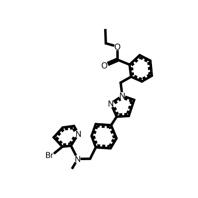 CCOC(=O)c1ccccc1Cn1ccc(-c2ccc(CN(C)c3ncccc3Br)cc2)n1